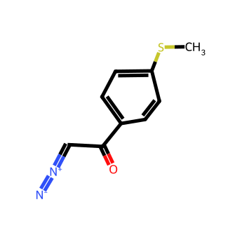 CSc1ccc(C(=O)C=[N+]=[N-])cc1